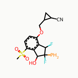 CS(=O)(=O)c1ccc(OCC2CC2C#N)c2c1C(O)C(F)(P)C2F